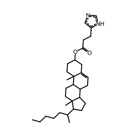 CCCCCC(C)C1CCC2C3CC=C4CC(OC(=O)CCc5cnc[nH]5)CCC4(C)C3CCC12C